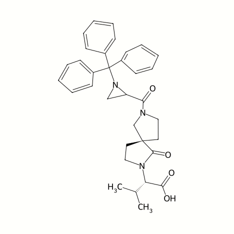 CC(C)[C@@H](C(=O)O)N1CC[C@@]2(CCN(C(=O)C3CN3C(c3ccccc3)(c3ccccc3)c3ccccc3)C2)C1=O